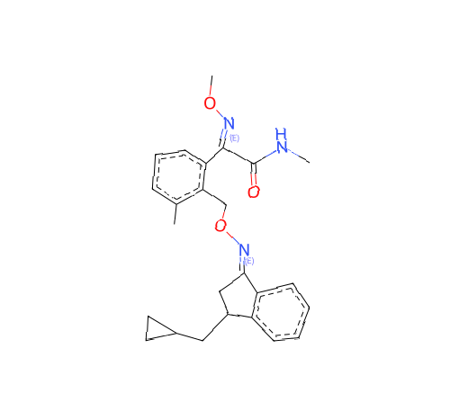 CNC(=O)/C(=N/OC)c1cccc(C)c1CO/N=C1\CC(CC2CC2)c2ccccc21